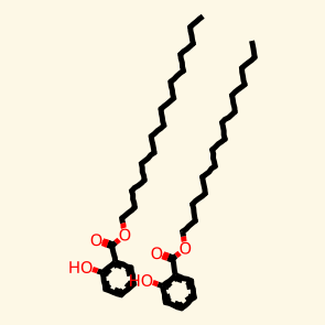 CCCCCCCCCCCCCCCCOC(=O)c1ccccc1O.CCCCCCCCCCCCCCCOC(=O)c1ccccc1O